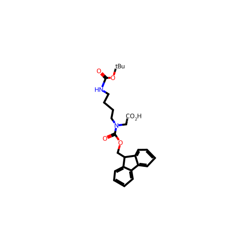 CC(C)(C)OC(=O)NCCCCN(CC(=O)O)C(=O)OCC1c2ccccc2-c2ccccc21